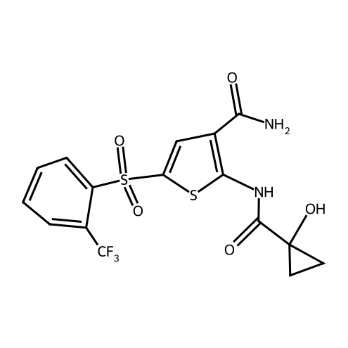 NC(=O)c1cc(S(=O)(=O)c2ccccc2C(F)(F)F)sc1NC(=O)C1(O)CC1